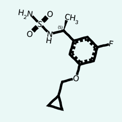 C[C@H](NS(N)(=O)=O)c1cc(F)cc(OCC2CC2)c1